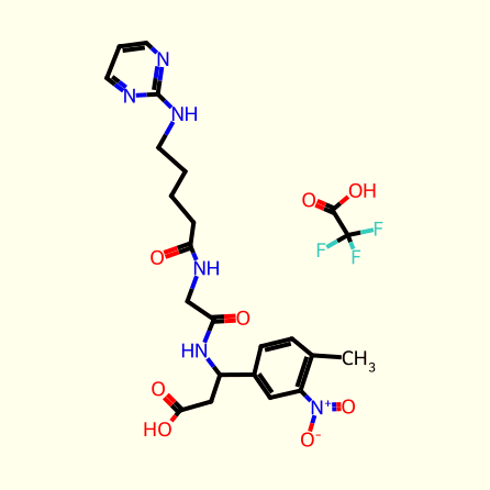 Cc1ccc(C(CC(=O)O)NC(=O)CNC(=O)CCCCNc2ncccn2)cc1[N+](=O)[O-].O=C(O)C(F)(F)F